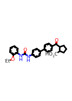 CCOc1ccccc1NC(=O)Nc1ccc(-c2ccc(C(=O)C3CCCC3C(=O)O)cc2)cc1